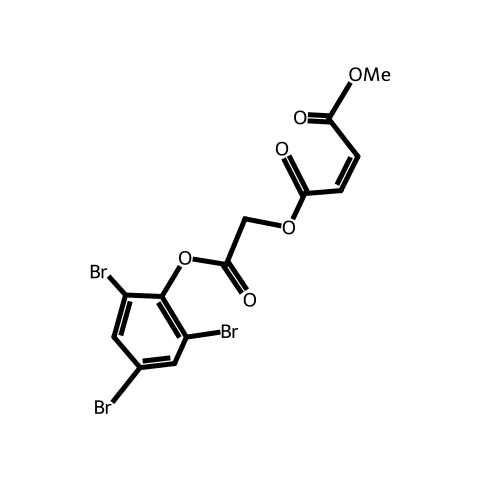 COC(=O)/C=C\C(=O)OCC(=O)Oc1c(Br)cc(Br)cc1Br